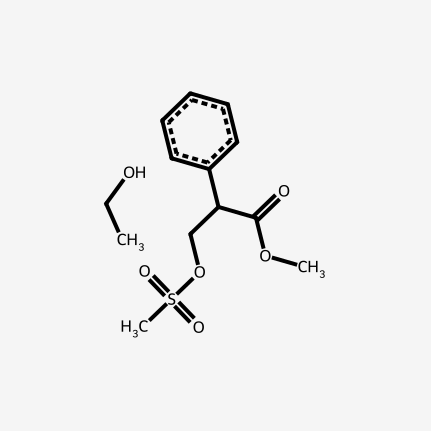 CCO.COC(=O)C(COS(C)(=O)=O)c1ccccc1